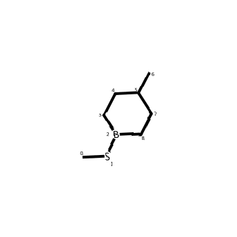 CSB1CCC(C)CC1